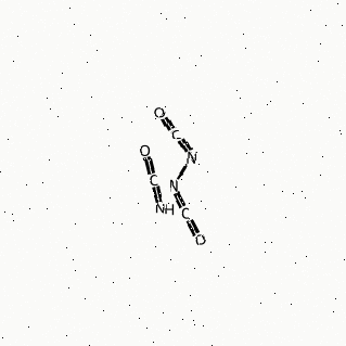 N=C=O.O=C=NN=C=O